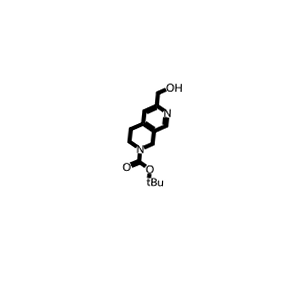 CC(C)(C)OC(=O)N1CCc2cc(CO)ncc2C1